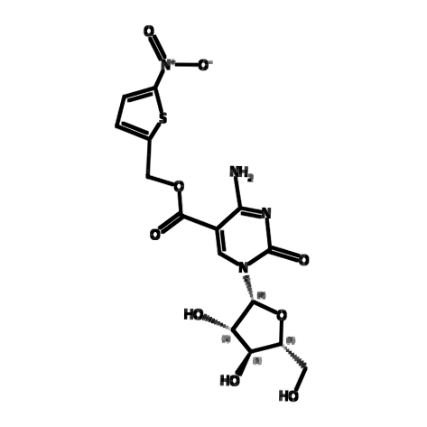 Nc1nc(=O)n([C@@H]2O[C@H](CO)[C@@H](O)[C@@H]2O)cc1C(=O)OCc1ccc([N+](=O)[O-])s1